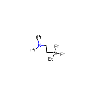 CC[Si](CC)(CC)CCN(C(C)C)C(C)C